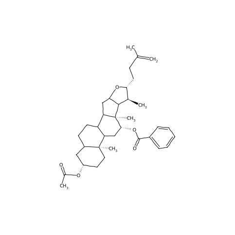 C=C(C)CC[C@H]1OC2CC3C4CCC5C[C@@H](OC(C)=O)CC[C@]5(C)C4C[C@@H](OC(=O)c4ccccc4)[C@]3(C)C2[C@@H]1C